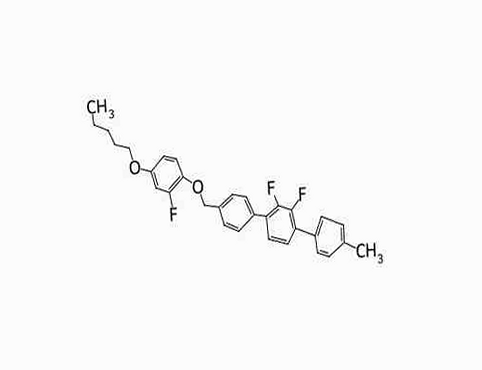 CCCCCOc1ccc(OCc2ccc(-c3ccc(-c4ccc(C)cc4)c(F)c3F)cc2)c(F)c1